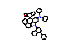 c1ccc(-c2ccc(-n3c4cc(N(c5ccccc5)c5ccccc5)cc5c4c4c6c(cccc6ccc43)C53c4ccccc4-c4ccccc43)c3ccccc23)cc1